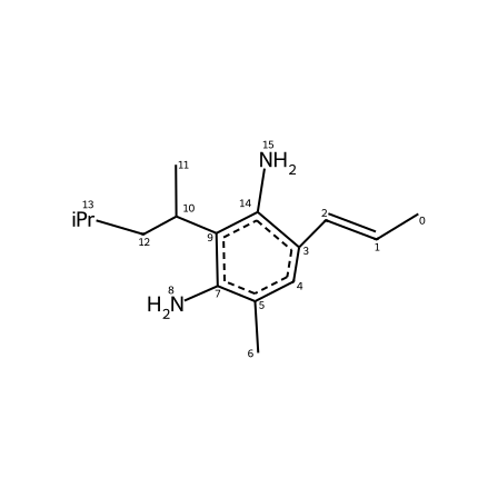 CC=Cc1cc(C)c(N)c(C(C)CC(C)C)c1N